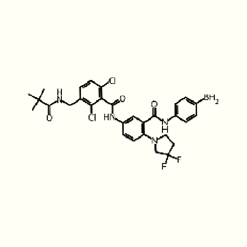 Bc1ccc(NC(=O)c2cc(NC(=O)c3c(Cl)ccc(CNC(=O)C(C)(C)C)c3Cl)ccc2N2CCC(F)(F)C2)cc1